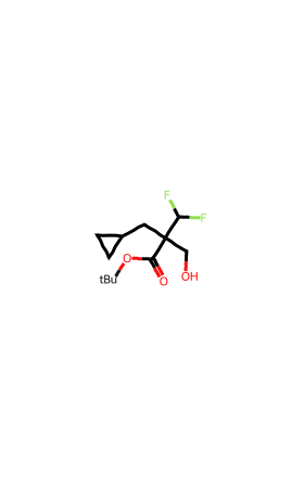 CC(C)(C)OC(=O)C(CO)(CC1CC1)C(F)F